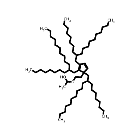 CCCCCCCCCCC(CCCCCCCC)CC1=C(CC(CCCCCCCC)CCCCCCCCCC)C(CCOC(C)O)(CC(CCCCCCCC)CCCCCCCCCC)C=C1